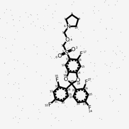 O=S(=O)(COCN1CCCC1)c1cc2c(cc1F)OC(c1ccc(F)cc1F)(c1ccc(F)cc1F)O2